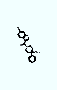 COC1(c2ccccc2)CCN(C(=O)c2c[nH]c3cc(Cl)ccc23)CC1